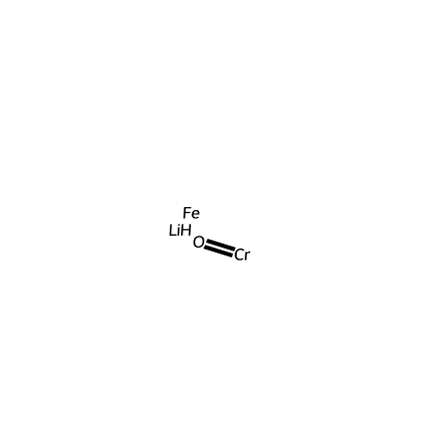 [Fe].[LiH].[O]=[Cr]